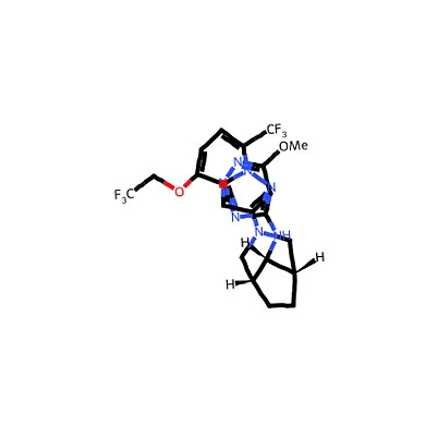 COc1cc(N2C[C@H]3CC[C@@H](C2)[C@H]3Nc2nc3c(OCC(F)(F)F)ccc(C(F)(F)F)n3n2)cnn1